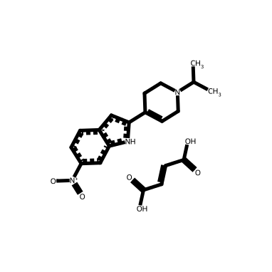 CC(C)N1CC=C(c2cc3ccc([N+](=O)[O-])cc3[nH]2)CC1.O=C(O)C=CC(=O)O